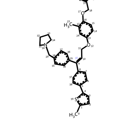 Cc1ccc(-c2ccc(/C(=C/COc3ccc(OCC(=O)O)c(C)c3)c3ccc(CN4CCCC4)cc3)cc2)s1